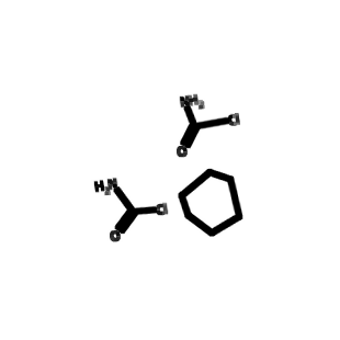 C1CCCCC1.NC(=O)Cl.NC(=O)Cl